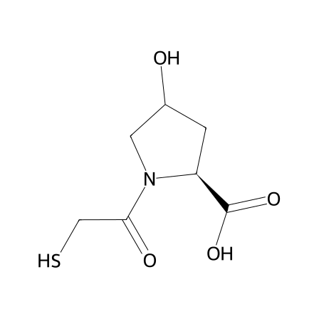 O=C(O)[C@@H]1CC(O)CN1C(=O)CS